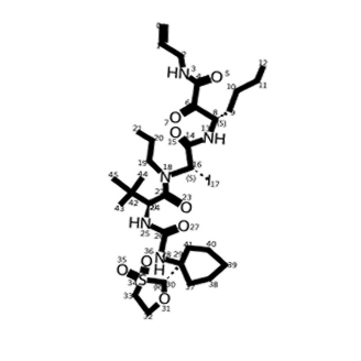 C=CCNC(=O)C(=O)[C@H](CCCC)NC(=O)[C@H](I)N(CCC)C(=O)[C@@H](NC(=O)NC1([C@@H]2OCCS2(=O)=O)CCCCC1)C(C)(C)C